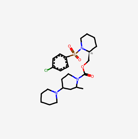 CC1CC(N2CCCCC2)CCN1C(=O)OC[C@@H]1CCCCN1S(=O)(=O)c1ccc(Cl)cc1